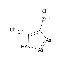 [Cl-].[Cl-].[Cl-].[Zr+3][C]1=C[AsH][As]=[As]1